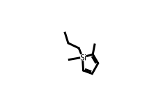 CCC[Si]1(C)C=CC=C1C